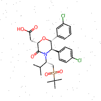 CC(C)[C@@H](CS(=O)(=O)C(C)(C)C)N1C(=O)[C@H](CC(=O)O)O[C@H](c2cccc(Cl)c2)[C@H]1c1ccc(Cl)cc1